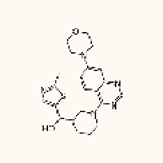 Cc1ncc(C(O)C2CCCN(c3ncnc4cc(N5CCOCC5)ccc34)C2)s1